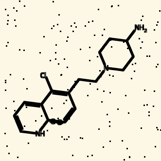 NC1CCN(CCC2=C(Cl)C3=CC=CNC34OCCOC4=C2)CC1